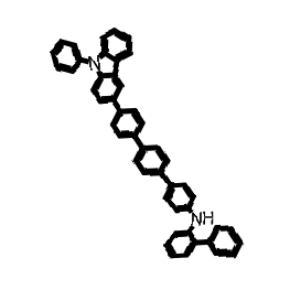 c1ccc(-c2ccccc2Nc2ccc(-c3ccc(-c4ccc(-c5ccc6c(c5)c5ccccc5n6-c5ccccc5)cc4)cc3)cc2)cc1